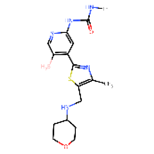 Bc1cnc(NC(=O)NCC)cc1-c1nc(C(F)(F)F)c(CNC2CCOCC2)s1